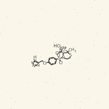 CC1(C)SCCN(S(=O)(=O)c2ccc(OCc3nnn[nH]3)cc2)[C@H]1C(=O)NO